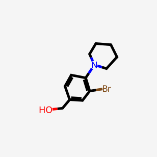 OCc1ccc(N2CCCCC2)c(Br)c1